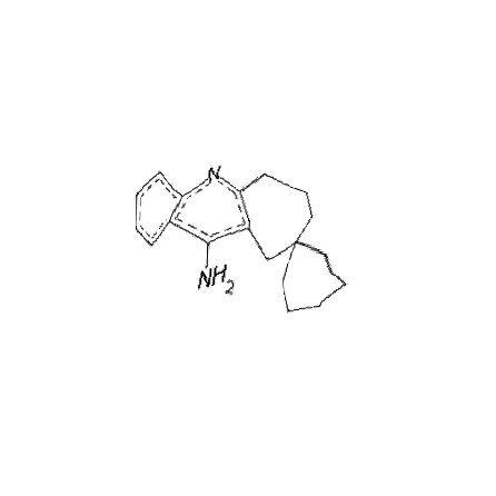 Nc1c2c(nc3ccccc13)CCCC1(CCCCC1)C2